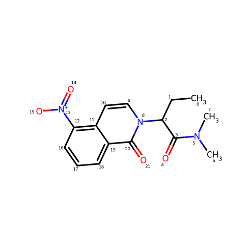 CCC(C(=O)N(C)C)n1ccc2c([N+](=O)[O-])cccc2c1=O